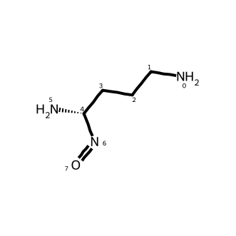 NCCC[C@@H](N)N=O